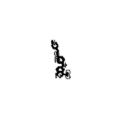 COC(=O)c1cncc2ccc(N(C)c3ccc(OCC4CCN(C)CC4)nc3)cc12